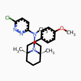 COc1ccc(CN2[C@@]3(C)CCC[C@]2(C)C[C@H](N(C)c2ccc(Cl)nn2)C3)cc1